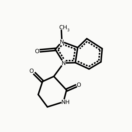 Cn1c(=O)n(C2C(=O)CCNC2=O)c2ccccc21